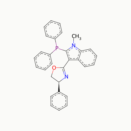 Cn1c(P(c2ccccc2)c2ccccc2)c(C2=N[C@@H](c3ccccc3)CO2)c2ccccc21